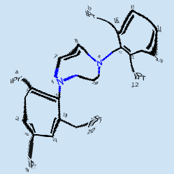 CC(C)c1cc(C(C)C)c(N2C=CN(c3c(C(C)C)cccc3C(C)C)C2)c(C(C)C)c1